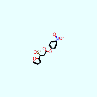 O=[S+]C(CC(=O)Oc1ccc([N+](=O)[O-])cc1)c1ccco1